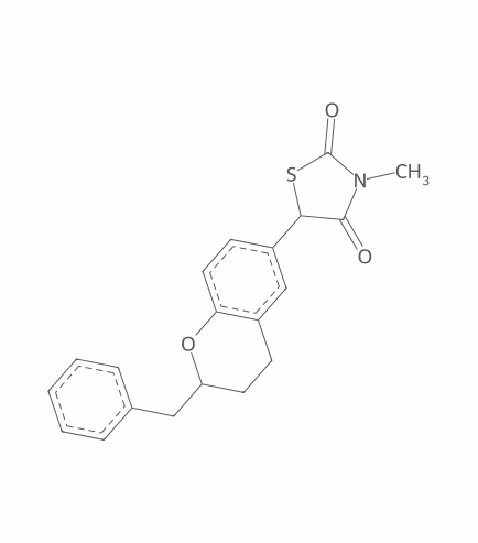 CN1C(=O)SC(c2ccc3c(c2)CCC(Cc2ccccc2)O3)C1=O